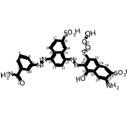 NC(=O)c1cccc(N=Nc2ccc(N=Nc3c(SOOO)cc4cc(S(=O)(=O)O)c(N)cc4c3O)c3cc(S(=O)(=O)O)ccc23)c1